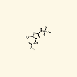 CC(=O)NC1SC(NS(=O)(=O)O)=NN1C